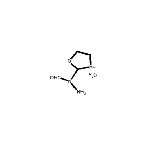 NN(C=O)C1NCCO1.O